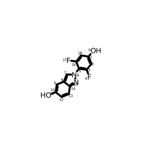 Oc1cc(F)c(-n2cc3cc(O)ccc3n2)c(F)c1